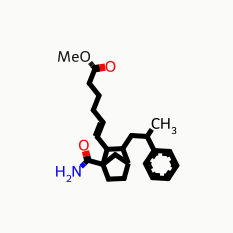 COC(=O)CCCC=CC1C(CC(C)c2ccccc2)C2CCC1(C(N)=O)C2